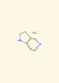 Cl.c1cc2c(cn1)CCN2